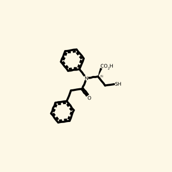 O=C(O)[C@@H](CS)N(C(=O)Cc1ccccc1)c1ccccc1